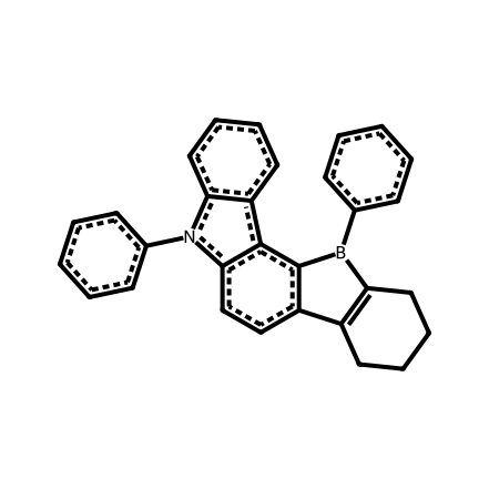 c1ccc(B2C3=C(CCCC3)c3ccc4c(c32)c2ccccc2n4-c2ccccc2)cc1